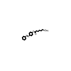 CCCCCCCCCCCCCCCC(=O)Oc1ccc(N=Nc2ccccc2)cc1